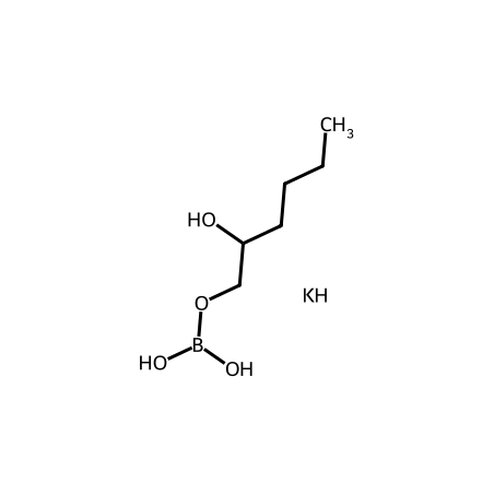 CCCCC(O)COB(O)O.[KH]